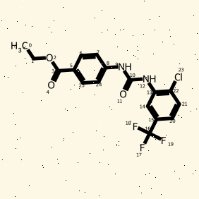 CCOC(=O)c1ccc(NC(=O)Nc2cc(C(F)(F)F)ccc2Cl)cc1